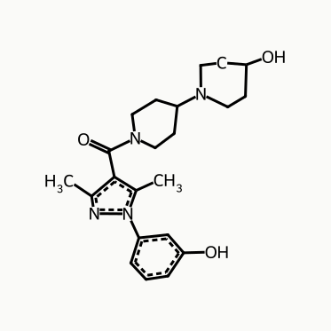 Cc1nn(-c2cccc(O)c2)c(C)c1C(=O)N1CCC(N2CCC(O)CC2)CC1